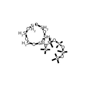 C[Si](C)(C)O[Si](C)(C)O[Si](C)(C)O[Si](C)(C)O[Si](C)(C)C.O1[SiH2]O[SiH2]O[SiH2]O[SiH2]O[SiH2]O[SiH2]1